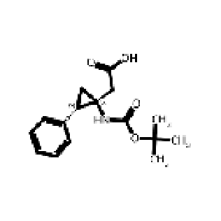 CC(C)(C)OC(=O)N[C@@]1(CC(=O)O)C[C@H]1c1ccccc1